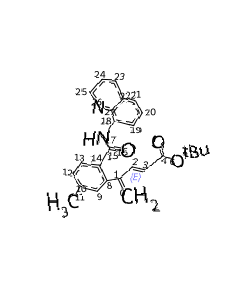 C=C(/C=C/C(=O)OC(C)(C)C)c1cc(C)ccc1C(=O)Nc1cccc2cccnc12